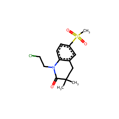 CC1(C)Cc2cc(S(C)(=O)=O)ccc2N(CCCl)C1=O